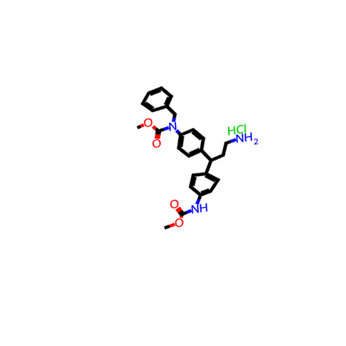 COC(=O)Nc1ccc(C(CCN)c2ccc(N(Cc3ccccc3)C(=O)OC)cc2)cc1.Cl